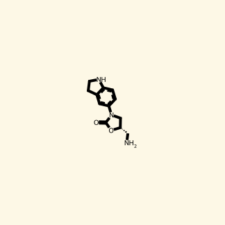 NC[C@H]1CN(c2ccc3c(c2)CCN3)C(=O)O1